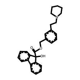 O=C(OCc1cccc(CCN2CCCCC2)c1)C1(O)c2ccccc2-c2ccccc21